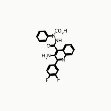 Nc1c(-c2ccc(F)c(F)c2)nc2ccccc2c1C(=O)NN(C(=O)O)c1ccccc1